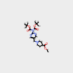 CCOC(=O)C1CCN(Cc2cnc(N(C(=O)OC(C)(C)C)C(=O)OC(C)(C)C)nc2)CC1